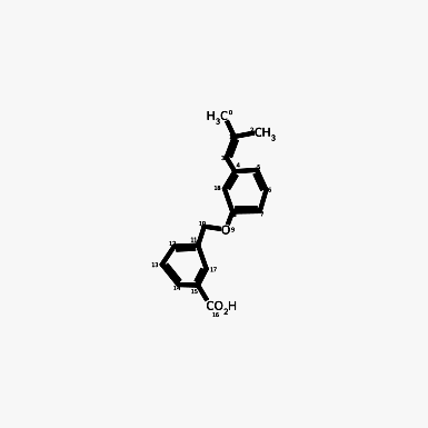 CC(C)=Cc1cccc(OCc2cccc(C(=O)O)c2)c1